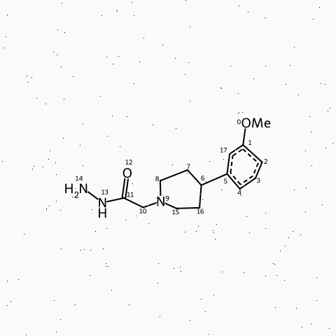 COc1cccc(C2CCN(CC(=O)NN)CC2)c1